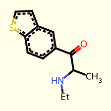 CCNC(C)C(=O)c1ccc2sccc2c1